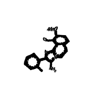 COc1ccc2ccn3c(N)c(-c4ccccc4C)nc3c2c1Cl